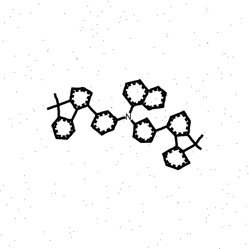 CC1(C)c2ccccc2-c2c(-c3cccc(N(c4cccc(-c5cccc6c5-c5ccccc5C6(C)C)c4)c4cccc5ccccc45)c3)cccc21